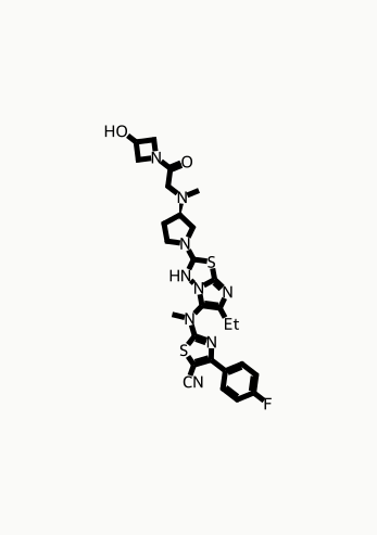 CCc1nc2n(c1N(C)c1nc(-c3ccc(F)cc3)c(C#N)s1)NC(N1CC[C@@H](N(C)CC(=O)N3CC(O)C3)C1)S2